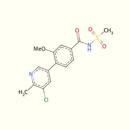 [CH2]c1ncc(-c2ccc(C(=O)NS(C)(=O)=O)cc2OC)cc1Cl